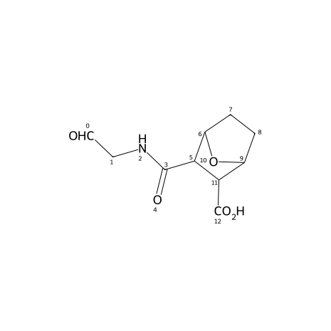 O=CCNC(=O)C1C2CCC(O2)C1C(=O)O